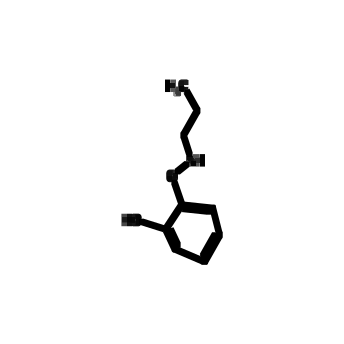 CCCNOc1ccccc1O